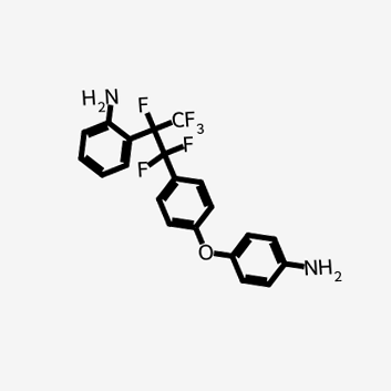 Nc1ccc(Oc2ccc(C(F)(F)C(F)(c3ccccc3N)C(F)(F)F)cc2)cc1